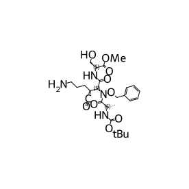 COC(=O)[C@H](CO)NC(=O)[C@H](C(=C=O)CCCN)N(OCc1ccccc1)C(=O)[C@H](C)NC(=O)OC(C)(C)C